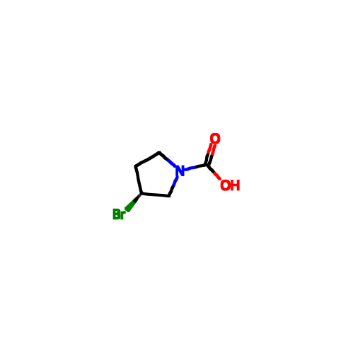 O=C(O)N1CC[C@H](Br)C1